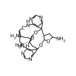 NC1CC2C(O1)OC13C[C@@H]4C(OC(N)[C@@H]4P)OC24c2ncnc(c24)NC/C=C/CNc2ncnc1c23